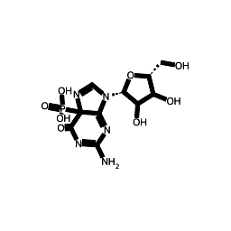 NC1=NC(=O)C2(P(=O)(O)O)N=CN([C@@H]3O[C@H](CO)C(O)C3O)C2=N1